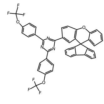 FC(F)(F)Oc1ccc(-c2nc(-c3ccc(OC(F)(F)F)cc3)nc(-c3ccc4c(c3)C3(c5ccccc5O4)c4ccccc4-c4ccccc43)n2)cc1